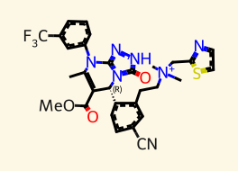 COC(=O)C1=C(C)N(c2cccc(C(F)(F)F)c2)c2n[nH]c(=O)n2[C@@H]1c1ccc(C#N)cc1CC[N+](C)(C)Cc1nccs1